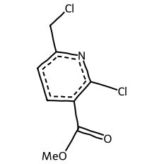 COC(=O)c1ccc(CCl)nc1Cl